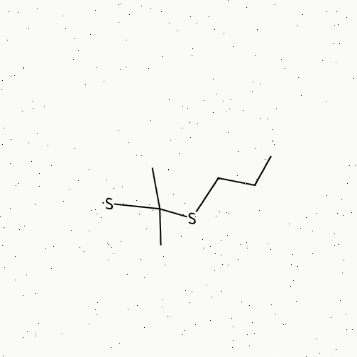 CCCSC(C)(C)[S]